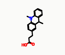 CC1c2ccccc2N(C)c2ccc(CCC(=O)O)cc21